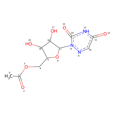 CC(=O)OCC1OC(n2ncc(=O)[nH]c2=O)C(O)C1O